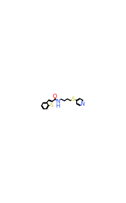 O=C(NCCCCSc1ccncc1)c1cc2ccccc2s1